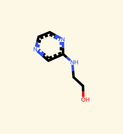 OCCNc1cnccn1